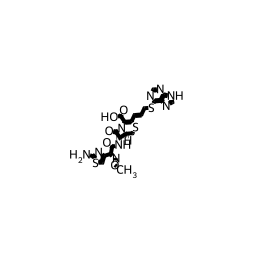 CON=C(C(=O)N[C@@H]1C(=O)N2C(C(=O)O)=C(C=CCSc3ncnc4[nH]cnc34)SC[C@H]12)c1csc(N)n1